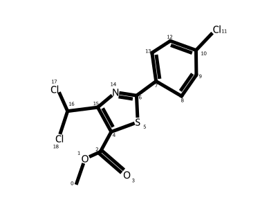 COC(=O)c1sc(-c2ccc(Cl)cc2)nc1C(Cl)Cl